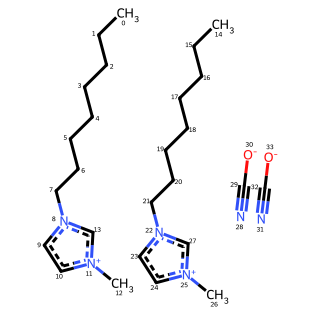 CCCCCCCCn1cc[n+](C)c1.CCCCCCCCn1cc[n+](C)c1.N#C[O-].N#C[O-]